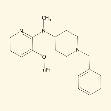 CCCOc1cccnc1N(C)C1CCN(Cc2ccccc2)CC1